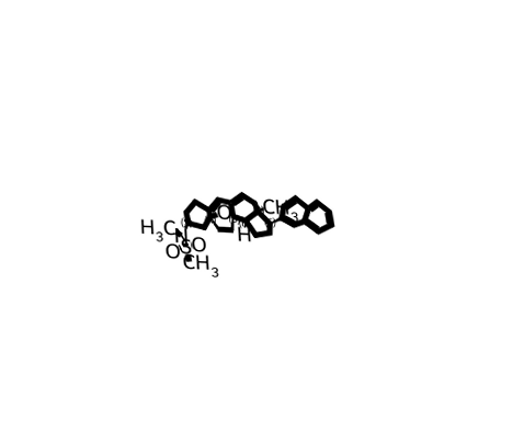 CN([C@H]1CCC2=CC3=CC[C@]4(C)[C@@H](c5ccc6ccccc6c5)CC[C@H]4[C@@]34CC[C@]2(C1)O4)S(C)(=O)=O